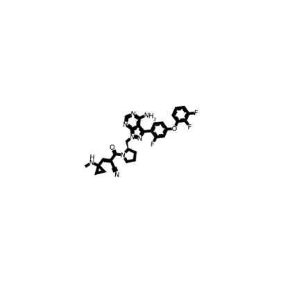 CNC1(C=C(C#N)C(=O)N2CCC[C@@H]2Cn2nc(-c3ccc(Oc4cccc(F)c4F)cc3F)c3c(N)ncnc32)CC1